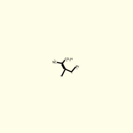 CC(CC(C)C)=C(C#N)C(=O)O